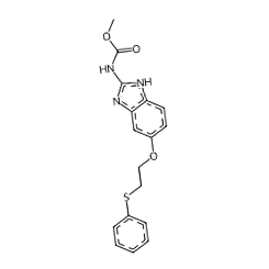 COC(=O)Nc1nc2cc(OCCSc3ccccc3)ccc2[nH]1